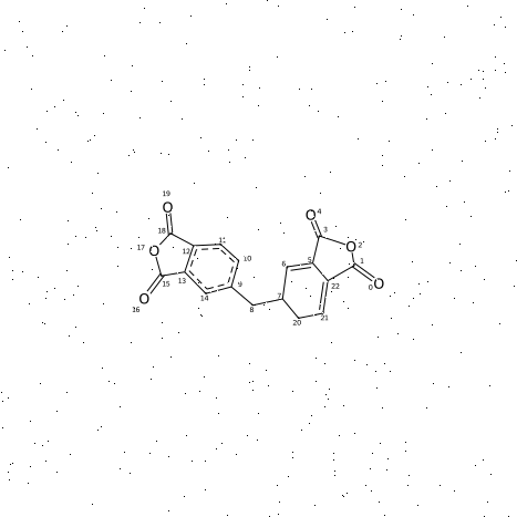 O=C1OC(=O)C2=CC(Cc3ccc4c(c3)C(=O)OC4=O)CC=C12